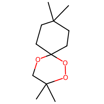 CC1(C)CCC2(CC1)OCC(C)(C)OO2